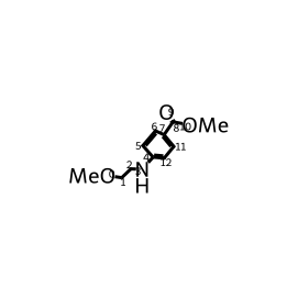 COCCNc1ccc(C(=O)OC)cc1